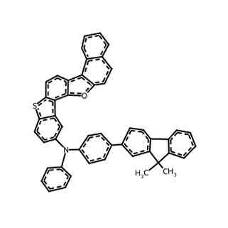 CC1(C)c2ccccc2-c2ccc(-c3ccc(N(c4ccccc4)c4ccc5sc6ccc7c(oc8ccc9ccccc9c87)c6c5c4)cc3)cc21